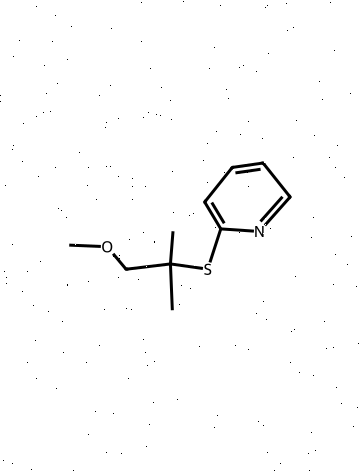 COCC(C)(C)Sc1ccccn1